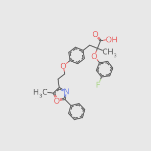 Cc1oc(-c2ccccc2)nc1CCOc1ccc(CC(C)(Oc2cccc(F)c2)C(=O)O)cc1